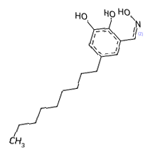 CCCCCCCCCc1cc(O)c(O)c(/C=N\O)c1